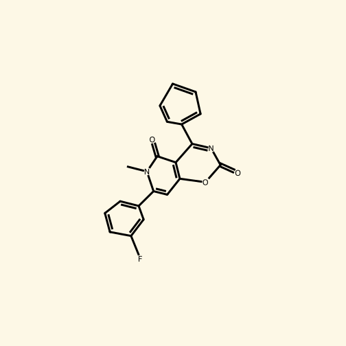 Cn1c(-c2cccc(F)c2)cc2oc(=O)nc(-c3ccccc3)c2c1=O